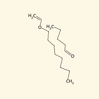 C=COCCCCCCCC.CCCCC=O